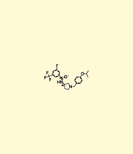 CC(C)Oc1ccc(CN2CC[C@@H](N[S@@+]([O-])c3cc(F)cc(C(F)(F)F)c3)C2)cc1